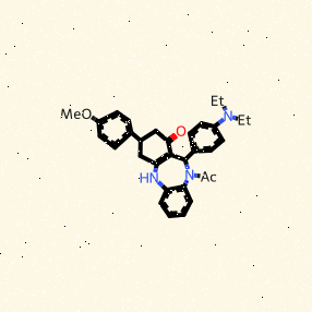 CCN(CC)c1ccc(C2C3=C(CC(c4ccc(OC)cc4)CC3=O)Nc3ccccc3N2C(C)=O)cc1